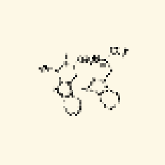 CCCC1NC(C(=O)O)Cc2c1[nH]c1ccccc21.N[C@@H](Cc1c[nH]c2ccccc12)C(=O)O